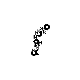 Cc1cccnc1CN1C[C@H]2CC(Nc3ccc(S(=O)(=O)c4ccccc4)nn3)C[C@H]2C1